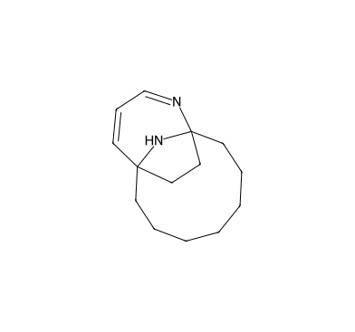 C1=CC23CCCCCCCC(CC2)(N=C1)N3